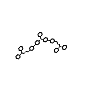 C(/C=C/c1ccc(-c2ccc(N(c3ccccc3)c3ccc(-c4ccc(/C=C/C=C(c5ccccc5)c5ccccc5)cc4)cc3)cc2)cc1)=C(c1ccccc1)c1ccccc1